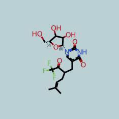 CC(C)=CCC(Cc1cn([C@@H]2O[C@H](CO)C(O)C2O)c(=O)[nH]c1=O)C(=O)C(F)(F)F